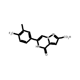 Cc1cc(-c2cn3nc(C(=O)O)cc3c(=O)[nH]2)ccc1C(F)(F)F